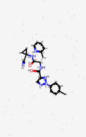 Cc1ccc(-n2ncc(C(=O)N[C@@H](Cc3ccccn3)C(=O)NC3(C#N)CC3)n2)cc1